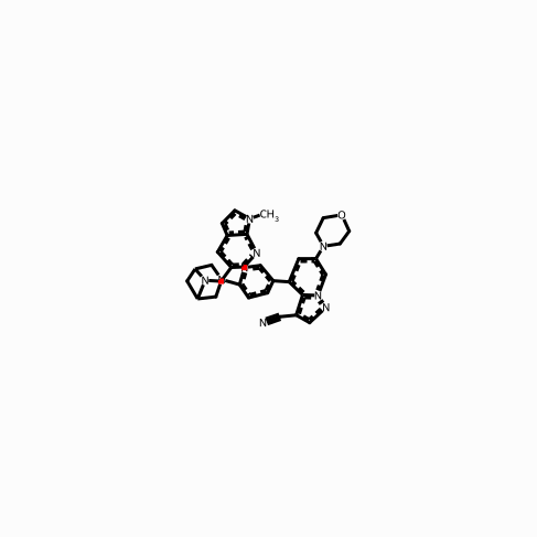 Cn1ccc2cc(CN3C4CC3CN(c3ccc(-c5cc(N6CCOCC6)cn6ncc(C#N)c56)cn3)C4)cnc21